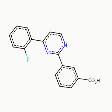 O=C(O)c1cccc(-c2nccc(-c3ccccc3F)n2)c1